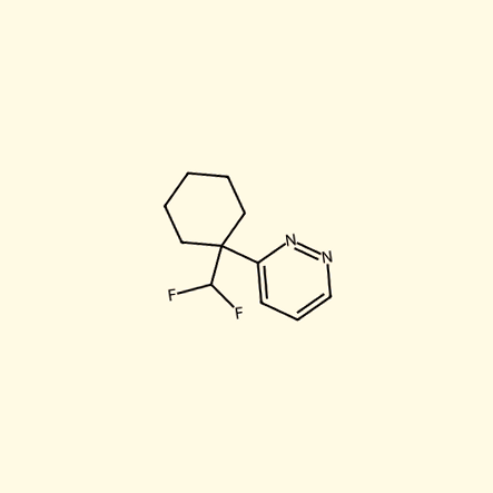 FC(F)C1(c2cccnn2)CCCCC1